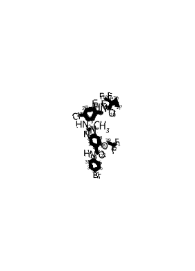 Cn1c(Nc2cc(CNC(=O)C3(C(F)(F)F)CC3)c(F)cc2Cl)nc2cc(C(=O)Nc3ccc(Br)cc3)c(OCC(F)F)cc21